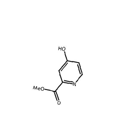 COC(=O)c1cc(O)ccn1